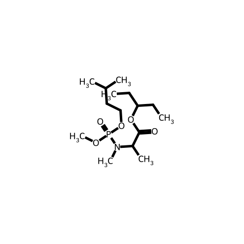 CCC(CC)OC(=O)C(C)N(C)P(=O)(OC)OCCC(C)C